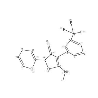 CNC1=C(c2cccc(C(F)(F)F)c2)C(=O)C(C2=CCC=CO2)O1